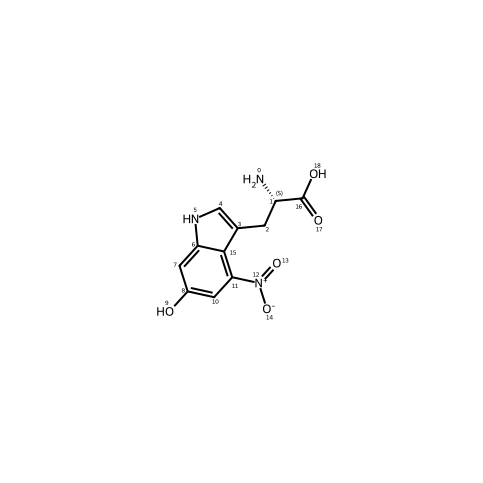 N[C@@H](Cc1c[nH]c2cc(O)cc([N+](=O)[O-])c12)C(=O)O